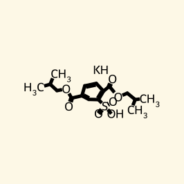 CC(C)COC(=O)c1ccc(C(=O)OCC(C)C)c(S(=O)(=O)O)c1.[KH]